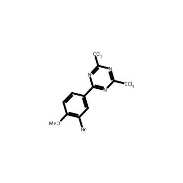 COc1ccc(-c2nc(C(Cl)(Cl)Cl)nc(C(Cl)(Cl)Cl)n2)cc1Br